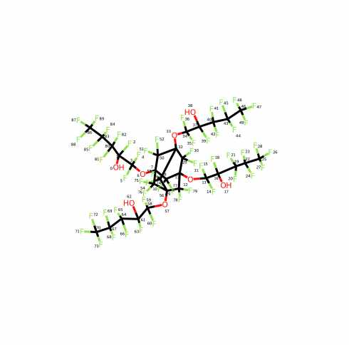 OC(F)(C(F)(F)OC12C(F)(F)C3(OC(F)(F)C(O)(F)C(F)(F)C(F)(F)C(F)(F)F)C(F)(F)C(OC(F)(F)C(O)(F)C(F)(F)C(F)(F)C(F)(F)F)(C1(F)F)C(F)(F)C(OC(F)(F)C(O)(F)C(F)(F)C(F)(F)C(F)(F)F)(C2(F)F)C3(F)F)C(F)(F)C(F)(F)C(F)(F)F